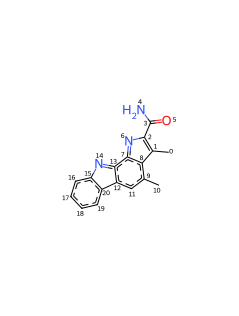 CC1=C(C(N)=O)N=c2c1c(C)cc1c2=Nc2ccccc2-1